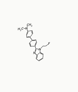 CN(C)c1ccc(-c2ccc(-c3nc4ccccc4n3CCF)cc2)cc1